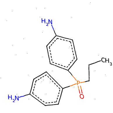 CCCP(=O)(c1ccc(N)cc1)c1ccc(N)cc1